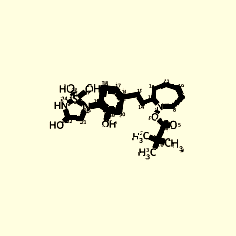 CC(C)(C)C(=O)ON1CCCCCC1CCc1ccc(N2CC(O)NS2(O)O)c(O)c1